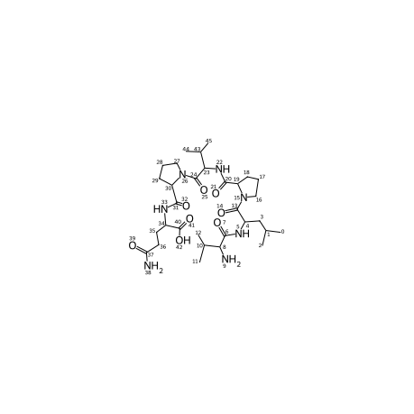 CC(C)CC(NC(=O)C(N)C(C)C)C(=O)N1CCCC1C(=O)NC(C(=O)N1CCCC1C(=O)NC(CCC(N)=O)C(=O)O)C(C)C